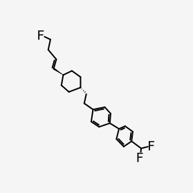 FCC/C=C/[C@H]1CC[C@H](CCc2ccc(-c3ccc(C(F)F)cc3)cc2)CC1